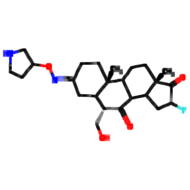 C[C@]12CCC(=NOC3CCNC3)CC1[C@@H](CO)C(=O)C1C2CC[C@]2(C)C(=O)C(F)CC12